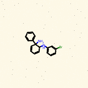 NC1(c2ccccc2)C=CC=CC1Nc1cccc(Br)c1